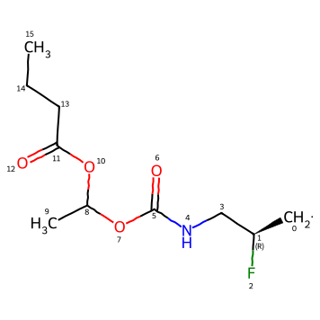 [CH2][C@@H](F)CNC(=O)OC(C)OC(=O)CCC